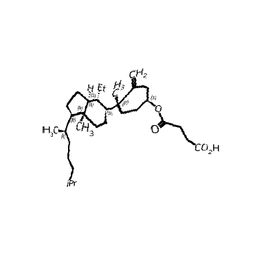 C=C1C[C@@H](OC(=O)CCC(=O)O)CC[C@]1(C)[C@H]1CC[C@]2(C)[C@@H]([C@H](C)CCCC(C)C)CC[C@H]2[C@@H]1CC